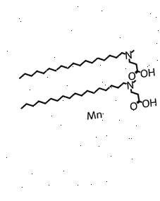 CCCCCCCCCCCCCCCCCCN(C)CCC(=O)O.CCCCCCCCCCCCCCCCCCN(C)CCC(=O)O.[Mn]